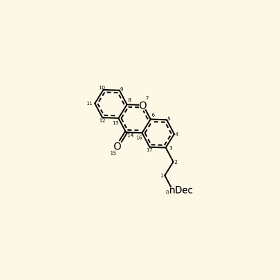 CCCCCCCCCCCCc1ccc2oc3ccccc3c(=O)c2c1